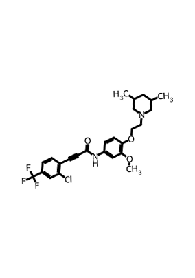 COc1cc(NC(=O)C#Cc2ccc(C(F)(F)F)cc2Cl)ccc1OCCN1CC(C)CC(C)C1